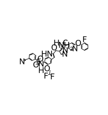 Cc1cc(Oc2ccccc2F)ncc1-n1ncc(C(=O)c2cc3cc(OCC(F)F)c(NS(=O)(=O)c4cccc(C#N)c4)cc3[nH]2)c1N